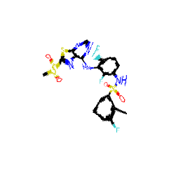 Cc1c(F)cccc1S(=O)(=O)Nc1ccc(F)c(Nc2ncnc3sc(S(C)(=O)=O)nc23)c1F